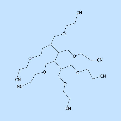 N#CCCOCCC(COCCC#N)C(COCCC#N)C(COCCC#N)C(COCCC#N)COCCC#N